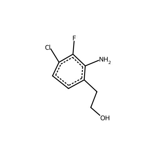 Nc1c(CCO)ccc(Cl)c1F